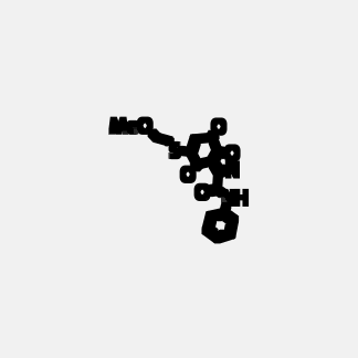 COCCSC1=CC(=O)c2onc(C(=O)Nc3ccccc3)c2C1=O